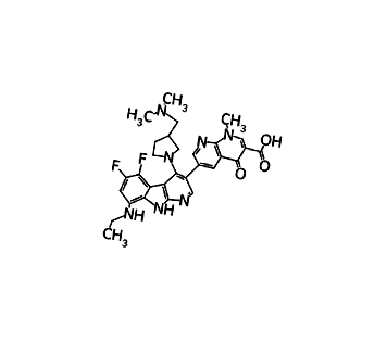 CCNc1cc(F)c(F)c2c1[nH]c1ncc(-c3cnc4c(c3)c(=O)c(C(=O)O)cn4C)c(N3CCC(CN(C)C)C3)c12